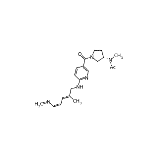 C=N/C=C\C=C(/C)CNc1ccc(C(=O)N2CC[C@H](N(C)C(C)=O)C2)cn1